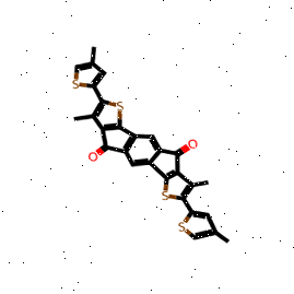 Cc1csc(-c2sc3c(c2C)c(=O)c2cc4c(cc23)c(=O)c2c(C)c(-c3cc(C)cs3)sc24)c1